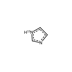 c1c[15nH]cn1